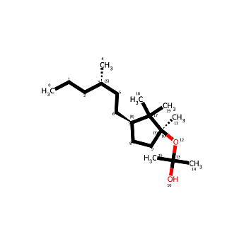 CCC[C@H](C)CC[C@@H]1CC[C@](C)(OC(C)(C)O)C1(C)C